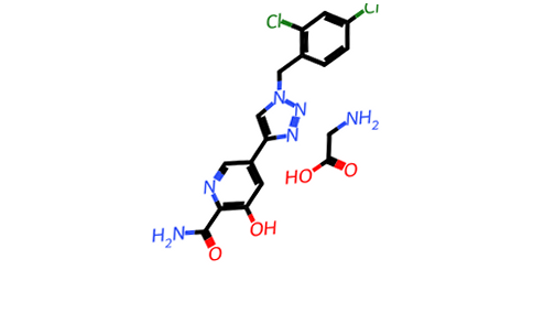 NC(=O)c1ncc(-c2cn(Cc3ccc(Cl)cc3Cl)nn2)cc1O.NCC(=O)O